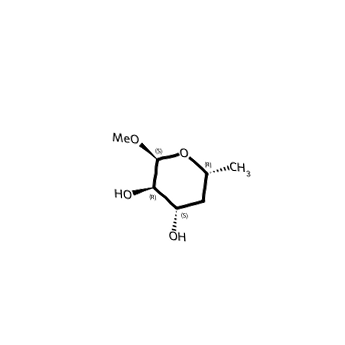 CO[C@H]1O[C@H](C)C[C@H](O)[C@H]1O